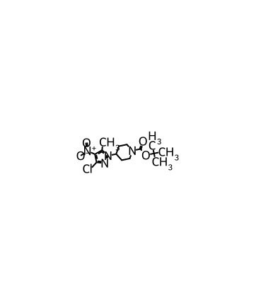 Cc1c([N+](=O)[O-])c(Cl)nn1C1CCN(C(=O)OC(C)(C)C)CC1